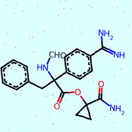 N=C(N)c1ccc(C(Cc2ccccc2)(NC=O)C(=O)OC2(C(N)=O)CC2)cc1